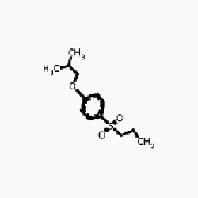 CCCS(=O)(=O)c1ccc(OCC(C)C)cc1